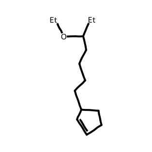 CCOC(CC)CCCCC1C=CCC1